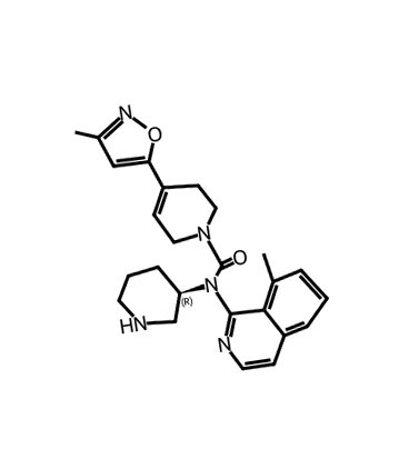 Cc1cc(C2=CCN(C(=O)N(c3nccc4cccc(C)c34)[C@@H]3CCCNC3)CC2)on1